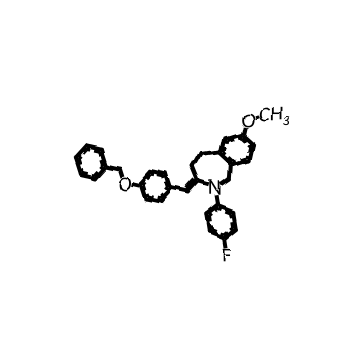 COc1ccc2c(c1)CCC(=Cc1ccc(OCc3ccccc3)cc1)N(c1ccc(F)cc1)C2